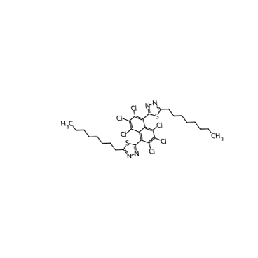 CCCCCCCCc1nnc(-c2c(Cl)c(Cl)c(Cl)c3c(-c4nnc(CCCCCCCC)s4)c(Cl)c(Cl)c(Cl)c23)s1